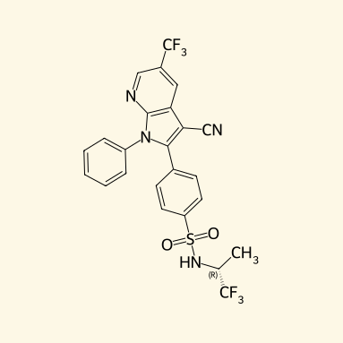 C[C@@H](NS(=O)(=O)c1ccc(-c2c(C#N)c3cc(C(F)(F)F)cnc3n2-c2ccccc2)cc1)C(F)(F)F